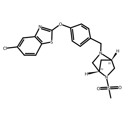 CS(=O)(=O)N1C[C@@H]2C[C@H]1CN2Cc1ccc(Oc2nc3cc(Cl)ccc3s2)cc1